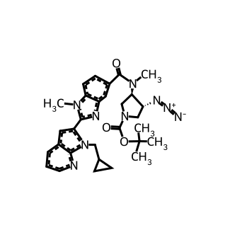 CN(C(=O)c1ccc2c(c1)nc(-c1cc3cccnc3n1CC1CC1)n2C)[C@@H]1CN(C(=O)OC(C)(C)C)C[C@H]1N=[N+]=[N-]